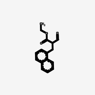 CCOC(=O)C([C]=O)Cc1cccc2ccccc12